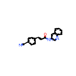 N#Cc1ccc(C=CC(=O)Nc2cnc3ccccc3c2)cc1